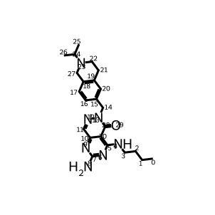 CCCCNc1nc(N)nc2cnn(Cc3ccc4c(c3)CCN(C(C)C)C4)c(=O)c12